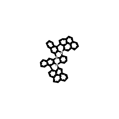 c1cc2c3c(c1)N1c4c(cc5ccccc5c4-c4ccc5ccc6cccc7cc1c4c5c67)B3c1cc3ccccc3c3c1N2c1cc2cccc4ccc5ccc-3c1c5c42